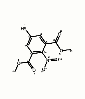 COC(=O)c1cc(S)cc(C(=O)OC)c1[N+](=O)[O-]